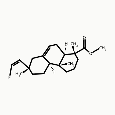 COC(=O)[C@]1(C)CCC[C@@]2(C)[C@H]1CC=C1C[C@@](C)(/C=C\F)CC[C@@H]12